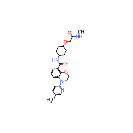 CNC(=O)COC1CCC(NC(=O)c2cccc3c2OCCN3c2ccc(C)cn2)CC1